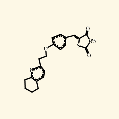 O=C1NC(=O)C(=Cc2ccc(OCCc3ccc4c(n3)CCCC4)cc2)S1